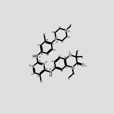 CCN1C(=O)C(C)(C)Oc2ccc(Nc3nc(Nc4ccc(N5CCN(C)CC5)c(C)c4)ncc3C)cc21